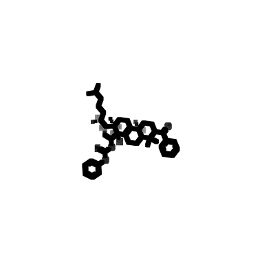 CC(C)CCC[C@@H](C)[C@H]1CC(OC(=S)Oc2ccccc2)[C@H]2C3=C(CC[C@@]21C)[C@@]1(C)CCC(C(=O)c2ccccc2)C(C)(C)C1CC3